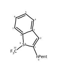 CCCCCc1cc2ccccc2[s+]1C(F)(F)F